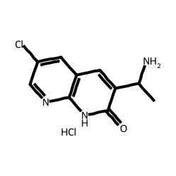 CC(N)c1cc2cc(Cl)cnc2[nH]c1=O.Cl